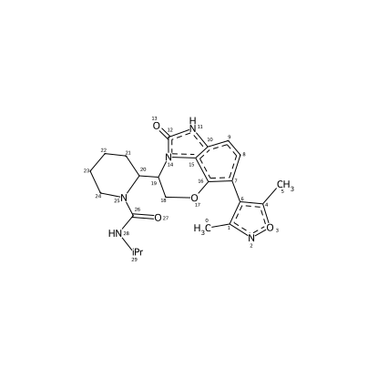 Cc1noc(C)c1-c1ccc2[nH]c(=O)n3c2c1OCC3C1CCCCN1C(=O)NC(C)C